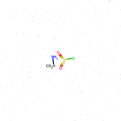 NC(=O)O.O=[SH](=O)Cl